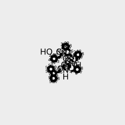 O=C(N[C@@H](Cc1ccccc1)C(=O)N[C@@H](Cc1ccccc1)C(=O)N[C@@H](Cc1ccccc1)C(=O)N[C@@H](Cc1ccccc1)C(=O)O)OCC1c2ccccc2-c2ccccc21